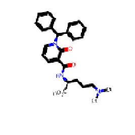 CCN(CC)CCC[C@H](NC(=O)c1cccn(C(c2ccccc2)c2ccccc2)c1=O)C(=O)O